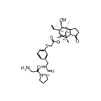 C=C[C@]1(C)C[C@@H](OC(=O)CSc2cccc(CNC(=O)[C@@H]3CCCN3C(=O)CN)c2)[C@]2(C)C(C)CCC3(CCC(=O)C32)[C@@H](C)[C@@H]1O